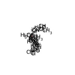 CC(=O)O[C@H](C)c1ccc2ccc(/C=C/C(C)(C)CN(C)[C@H](C(=O)N[C@@H](C)C(=O)N3CCC[C@@H](C(=O)OCC(Cl)(Cl)Cl)N3)C(C)C)cc2n1